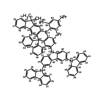 CC(C)c1cc(C(C)C)c(B2c3ccc(-n4c5ccc(-n6c7ccccc7c7ccccc76)cc5c5cc(-n6c7ccccc7c7ccccc76)ccc54)cc3C(c3ccccc3)(c3ccccc3)c3cc4c(cc32)C(C)(C)c2ccccc2-4)c(C(C)C)c1